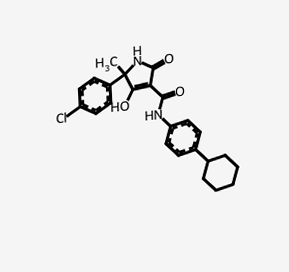 CC1(c2ccc(Cl)cc2)NC(=O)C(C(=O)Nc2ccc(C3CCCCC3)cc2)=C1O